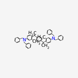 C=C(c1ccc(C(=C)c2ccc(N(Cc3ccccc3)Cc3ccccc3)cc2C)cc1)c1ccc(N(Cc2ccccc2)Cc2ccccc2)cc1C